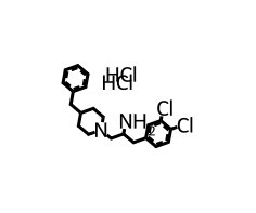 Cl.Cl.NC(Cc1ccc(Cl)c(Cl)c1)CN1CCC(Cc2ccccc2)CC1